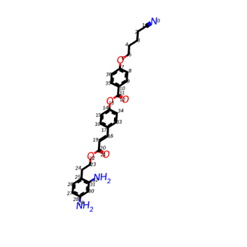 N#CCCCCOc1ccc(C(=O)Oc2ccc(/C=C/C(=O)OCCc3ccc(N)cc3N)cc2)cc1